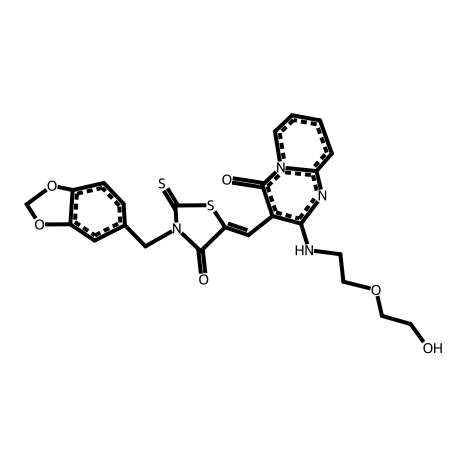 O=C1C(=Cc2c(NCCOCCO)nc3ccccn3c2=O)SC(=S)N1Cc1ccc2c(c1)OCO2